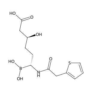 O=C(O)C[C@@H](O)CC[C@H](NC(=O)Cc1cccs1)B(O)O